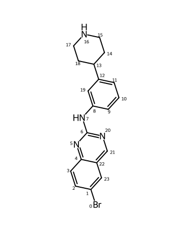 Brc1ccc2nc(Nc3cccc(C4CCNCC4)c3)ncc2c1